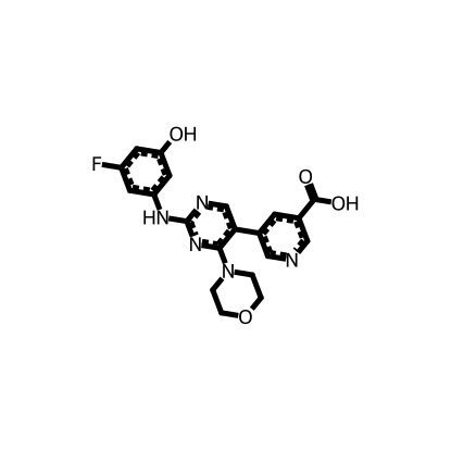 O=C(O)c1cncc(-c2cnc(Nc3cc(O)cc(F)c3)nc2N2CCOCC2)c1